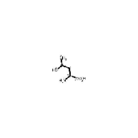 CC(O)C[C@H](N)C(=O)O